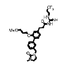 COCCCOc1cc(CCC(=O)NC(=N)NCCC(F)(F)F)ccc1-c1cccc(CN2CCN(C)C2=O)c1